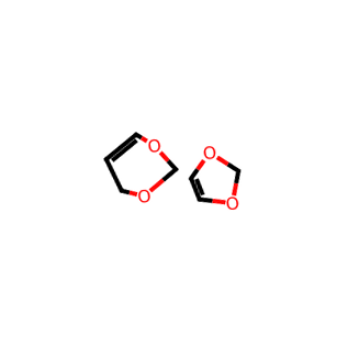 C1=COCO1.C1=COCOC1